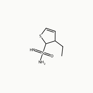 CCC1C=CSC1S(=N)(N)=O